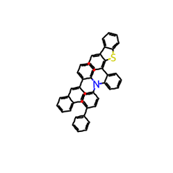 c1ccc(-c2ccc(N(c3ccccc3-c3ccc4ccccc4c3)c3ccccc3-c3cccc4c3sc3ccccc34)cc2)cc1